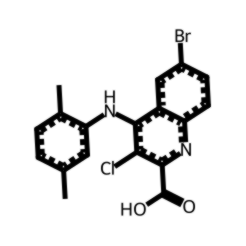 Cc1ccc(C)c(Nc2c(Cl)c(C(=O)O)nc3ccc(Br)cc23)c1